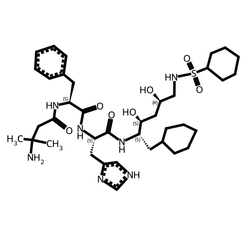 CC(C)(N)CC(=O)N[C@@H](Cc1ccccc1)C(=O)N[C@@H](Cc1c[nH]cn1)C(=O)N[C@@H](CC1CCCCC1)[C@@H](O)C[C@@H](O)CNS(=O)(=O)C1CCCCC1